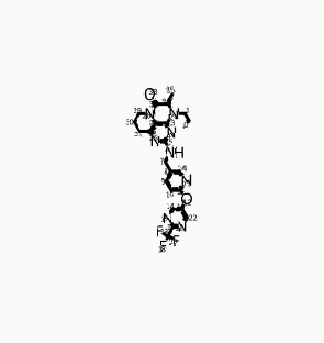 CCN1c2nc(NCc3ccc(Oc4cnc(C(F)(F)F)nc4)nc3)nc3c2N(CCC3)C(=O)C1C